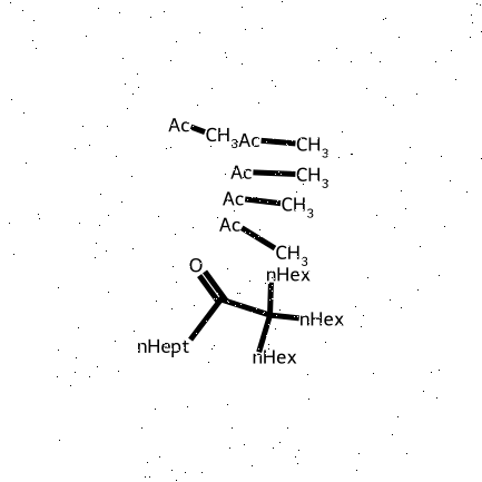 CC(C)=O.CC(C)=O.CC(C)=O.CC(C)=O.CC(C)=O.CCCCCCCC(=O)C(CCCCCC)(CCCCCC)CCCCCC